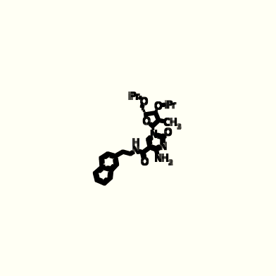 CC(C)OC[C@H]1O[C@@H](n2cc(C(=O)NCCc3ccc4ccccc4c3)c(N)nc2=O)C(C)[C@H]1OC(C)C